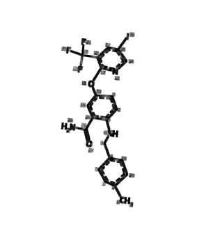 Cc1ccc(CNc2ccc(Oc3ncc(I)cc3C(F)(F)F)cc2C(N)=O)cc1